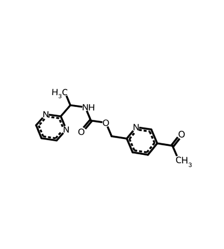 CC(=O)c1ccc(COC(=O)NC(C)c2ncccn2)nc1